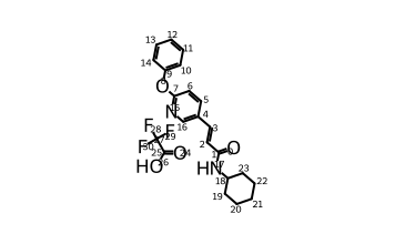 O=C(C=Cc1ccc(Oc2ccccc2)nc1)NC1CCCCC1.O=C(O)C(F)(F)F